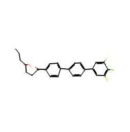 CCCC1CCC(c2ccc(-c3ccc(-c4cc(F)c(F)c(F)c4)cc3)cc2)O1